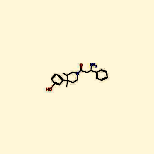 CC1CN(C(=O)CC(N)c2ccccc2)CCC1(C)c1cccc(O)c1